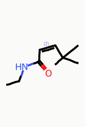 CCNC(=O)/C=C\C(C)(C)C